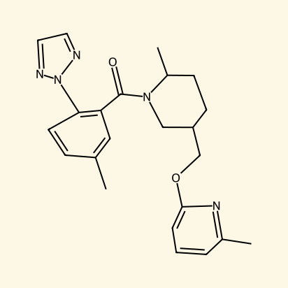 Cc1ccc(-n2nccn2)c(C(=O)N2CC(COc3cccc(C)n3)CCC2C)c1